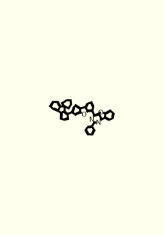 c1ccc(-c2nc(-c3cccc4c3oc3cc(-c5cccc6c5C5(CCCCC5)c5ccccc5-6)ccc34)c3oc4ccccc4c3n2)cc1